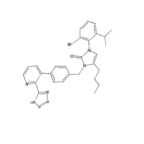 CCCCc1cn(-c2c(Br)cccc2C(C)C)c(=O)n1Cc1ccc(-c2cccnc2-c2nnn[nH]2)cc1